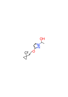 CC(O)n1ccc(OCCC2(C(F)(F)F)CC2)n1